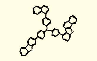 c1ccc2c(-c3ccc(N(c4ccc(-c5ccc6c(c5)oc5ccccc56)cc4)c4ccc(-c5cccc6oc7c8ccccc8ccc7c56)cc4)cc3)cccc2c1